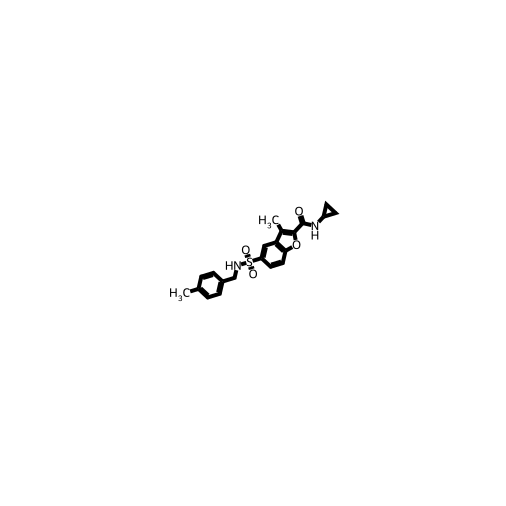 Cc1ccc(CNS(=O)(=O)c2ccc3oc(C(=O)NC4CC4)c(C)c3c2)cc1